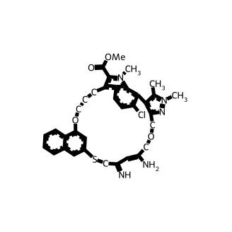 COC(=O)c1c2c3ccc(Cl)c(c3n1C)-c1c(nn(C)c1C)COC/C(N)=C/C(=N)CSc1cc(c3ccccc3c1)OCCC2